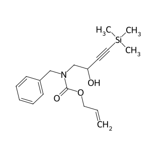 C=CCOC(=O)N(Cc1ccccc1)CC(O)C#C[Si](C)(C)C